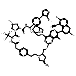 C#Cc1c(F)ccc2cc(O)cc(-c3ncc4c(N5CC6CCC(C5)N6)nc(OCC5CC(=C)CN5CCc5ccc(CC(=O)N[C@H](C(=O)N6C[C@H](O)C[C@H]6C(=O)N[C@@H](C)c6ccc(-c7scnc7C)cc6)C(C)(C)C)cn5)nc4c3F)c12